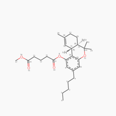 CCCCCc1cc(OC(=O)CCCC(=O)OC)c2c(c1)OC(C)(C)[C@@H]1CCC(C)=C[C@@H]21